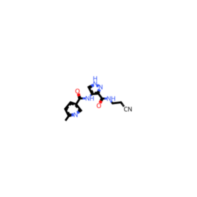 Cc1ccc(C(=O)Nc2c[nH]nc2C(=O)NCCC#N)cn1